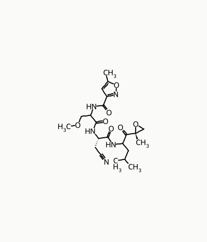 COCC(NC(=O)c1cc(C)on1)C(=O)N[C@@H](CC#N)C(=O)NC(CC(C)C)C(=O)[C@@]1(C)CO1